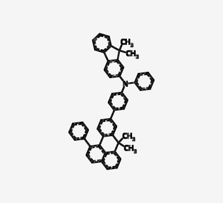 CC1(C)c2ccccc2-c2ccc(N(c3ccccc3)c3ccc(-c4ccc5c(c4)C(C)(C)c4cccc6ccc(-c7ccccc7)c-5c46)cc3)cc21